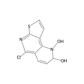 OC1C=Cc2c(Cl)nc3sccc3c2N1O